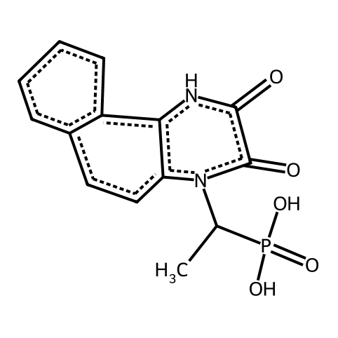 CC(n1c(=O)c(=O)[nH]c2c3ccccc3ccc21)P(=O)(O)O